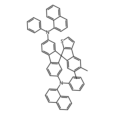 Cc1cc2c(cc1C)C1(c3cc(N(c4ccccc4)c4cccc5ccccc45)ccc3-c3ccc(N(c4ccccc4)c4cccc5ccccc45)cc31)c1sccc1-2